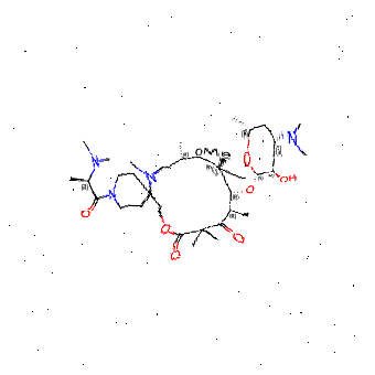 CO[C@]1(C)C[C@@H](C)CN(C)C2(CCN(C(=O)[C@@H](C)N(C)C)CC2)COC(=O)C(C)(C)C(=O)[C@H](C)[C@H]1O[C@@H]1O[C@H](C)C[C@H](N(C)C)[C@H]1O